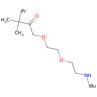 CC(C)C(C)(C)C(=O)COCCOCCNC(C)(C)C